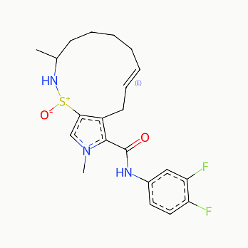 CC1CCCC/C=C/Cc2c(cn(C)c2C(=O)Nc2ccc(F)c(F)c2)[S+]([O-])N1